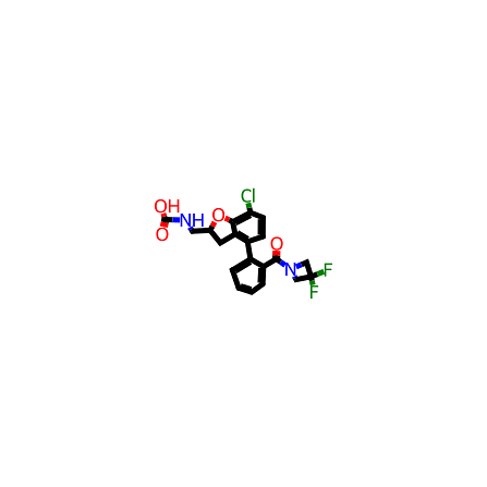 O=C(O)NCC1Cc2c(-c3ccccc3C(=O)N3CC(F)(F)C3)ccc(Cl)c2O1